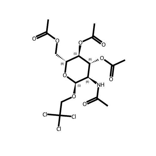 CC(=O)N[C@H]1[C@@H](OCC(Cl)(Cl)Cl)O[C@H](COC(C)=O)[C@@H](OC(C)=O)[C@@H]1OC(C)=O